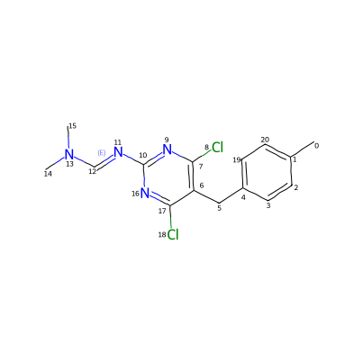 Cc1ccc(Cc2c(Cl)nc(/N=C/N(C)C)nc2Cl)cc1